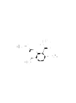 CCCCOC(=O)c1c(SC)ccc(CO)c1OC(=O)OC(C)(C)C